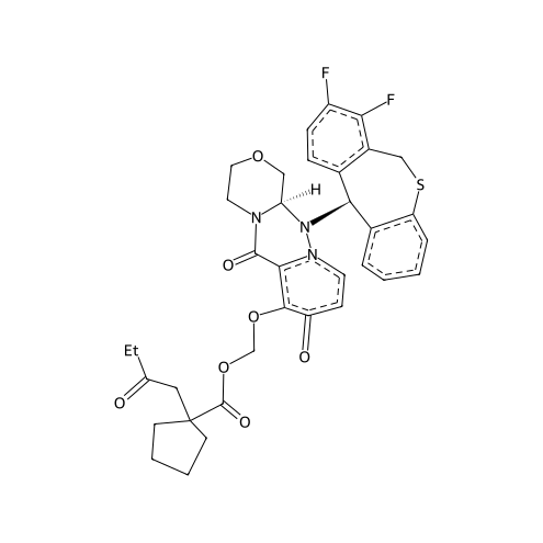 CCC(=O)CC1(C(=O)OCOc2c3n(ccc2=O)N([C@@H]2c4ccccc4SCc4c2ccc(F)c4F)[C@@H]2COCCN2C3=O)CCCC1